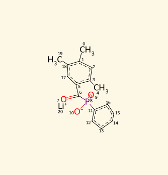 Cc1cc(C)c(C(=O)P(=O)([O-])c2ccccc2)cc1C.[Li+]